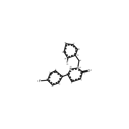 O=c1ccc(-c2ccc(F)cc2)nn1Cc1ccccc1F